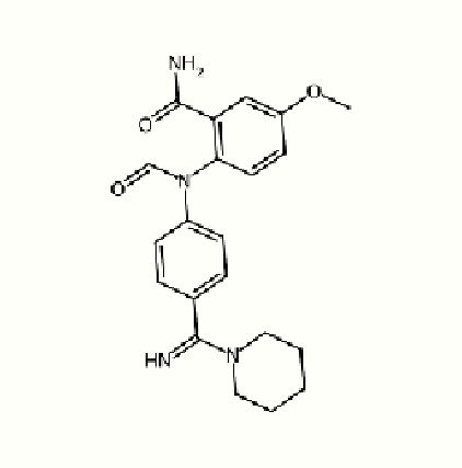 COc1ccc(N(C=O)c2ccc(C(=N)N3CCCCC3)cc2)c(C(N)=O)c1